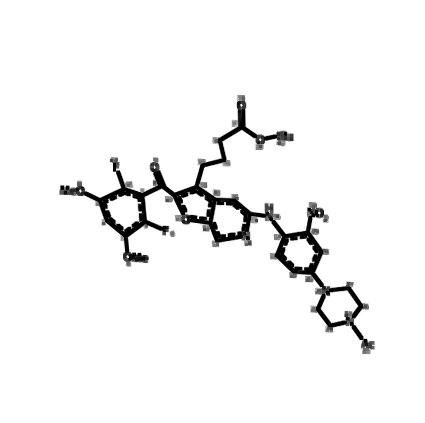 COc1cc(OC)c(F)c(C(=O)c2oc3cnc(Nc4ccc(N5CCN(C(C)=O)CC5)cc4[N+](=O)[O-])cc3c2CCCC(=O)OC(C)(C)C)c1F